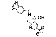 CC(c1ccc2scnc2c1)N1CCc2ncc(S(C)(=O)=O)cc2[C@@H](O)C1